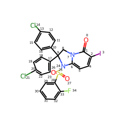 O=c1c(I)ccc2n1CC(c1ccc(Cl)cc1)(c1ccc(Cl)cc1)N2S(=O)(=O)c1ccccc1F